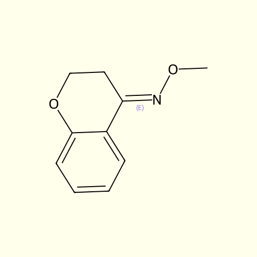 CO/N=C1\CCOc2ccccc21